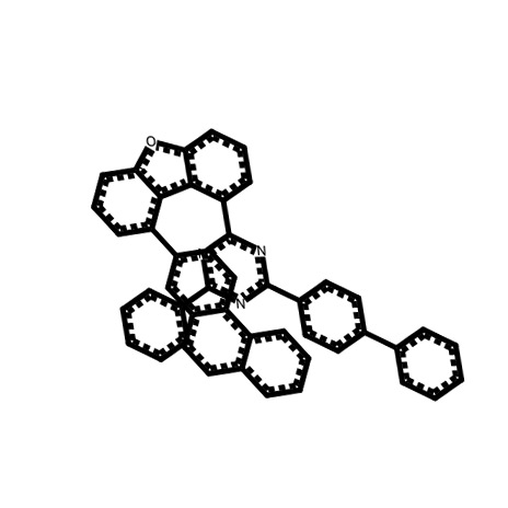 c1ccc(-c2ccc(-c3nc(-c4ccccc4)nc(-c4cccc5oc6cccc(-c7ccc8c(ccc9ccccc98)c7)c6c45)n3)cc2)cc1